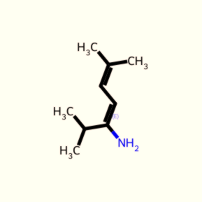 CC(C)=C/C=C(/N)C(C)C